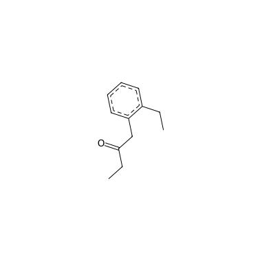 CCC(=O)Cc1ccccc1CC